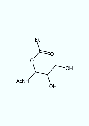 [CH2]C(=O)NC(OC(=O)CC)C(O)CO